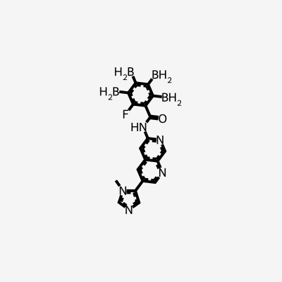 Bc1c(B)c(B)c(C(=O)Nc2cc3cc(-c4cncn4C)cnc3cn2)c(F)c1B